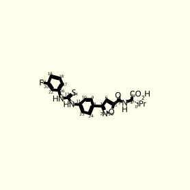 CC(C)[C@H](NC(=O)c1cc(-c2ccc(NC(=S)Nc3cccc(F)c3)cc2)no1)C(=O)O